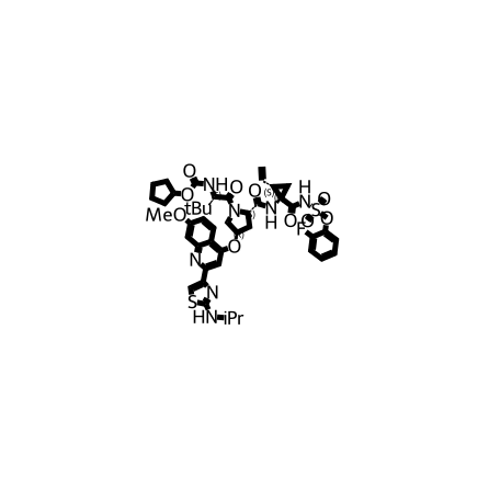 C=C[C@@H]1C[C@]1(NC(=O)[C@@H]1C[C@@H](Oc2cc(-c3csc(NC(C)C)n3)nc3cc(OC)ccc23)CN1C(=O)[C@@H](NC(=O)OC1CCCC1)C(C)(C)C)C(=O)NS(=O)(=O)Oc1ccccc1F